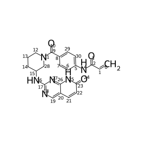 C=CC(=O)Nc1ccc(C(=O)N2CCCC(Nc3ncc4ccc(=O)[nH]c4n3)C2)cc1